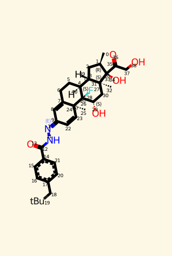 C[C@@H]1C[C@H]2[C@@H]3CCC4=C/C(=N/NC(=O)c5ccc(CC(C)(C)C)cc5)C=C[C@]4(C)[C@@]3(F)[C@@H](O)C[C@]2(C)[C@@]1(O)C(=O)CO